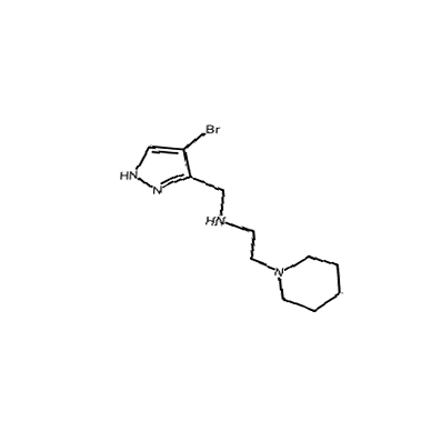 Brc1c[nH]nc1CNCCN1CC[CH]CC1